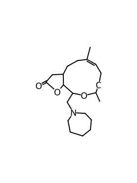 CC1=CCCC(C)OC(CN2CCCCCC2)C2OC(=O)CC2CC1